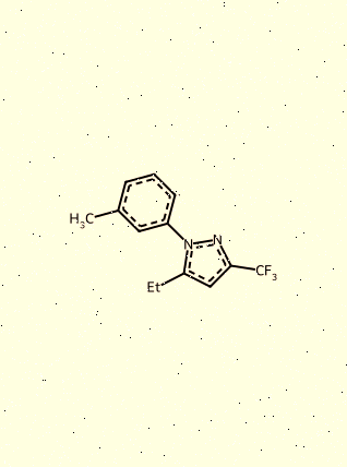 CCc1cc(C(F)(F)F)nn1-c1[c]ccc(C)c1